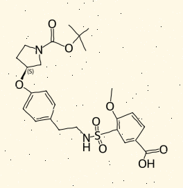 COc1ccc(C(=O)O)cc1S(=O)(=O)NCCc1ccc(O[C@H]2CCN(C(=O)OC(C)(C)C)C2)cc1